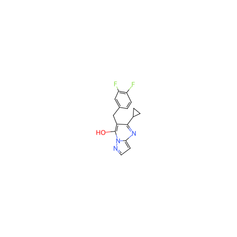 Oc1c(Cc2ccc(F)c(F)c2)c(C2CC2)nc2ccnn12